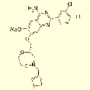 COc1cc2c(N)nc(-c3ccc(Cl)c(Cl)c3)nc2cc1OCC1CN(Cc2ccsc2)CCCO1